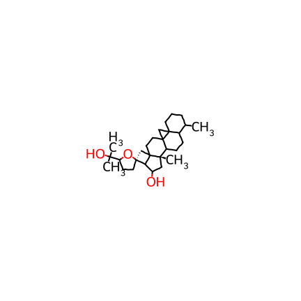 CC1CCCC23CC24CCC25C[C@@]6(CCC(C(C)(C)O)O6)C2C(O)C[C@@]5(C)C4CCC13